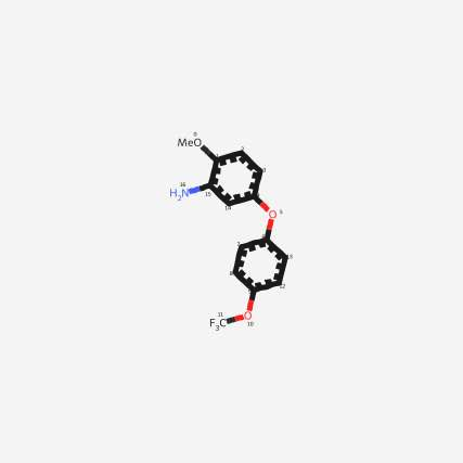 COc1ccc(Oc2ccc(OC(F)(F)F)cc2)cc1N